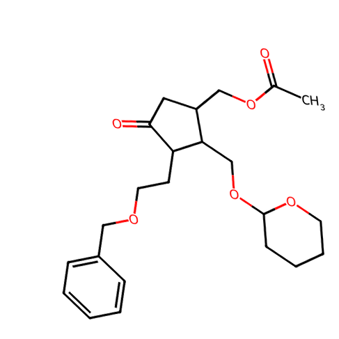 CC(=O)OCC1CC(=O)C(CCOCc2ccccc2)C1COC1CCCCO1